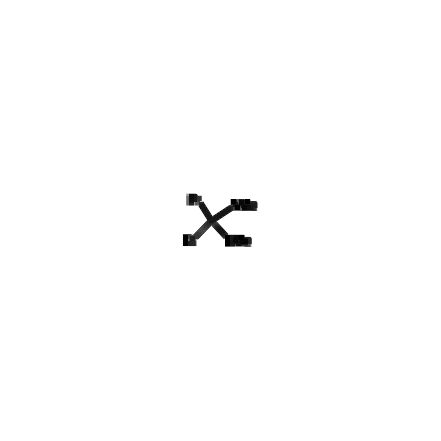 CCC(NC)(NC)C(C)C